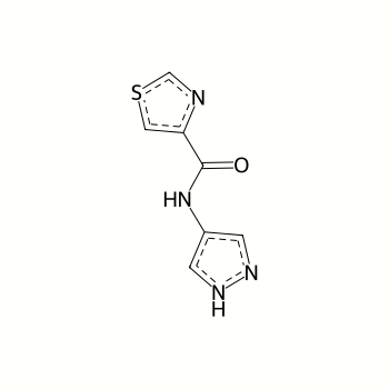 O=C(Nc1cn[nH]c1)c1cscn1